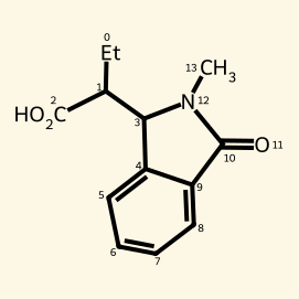 CCC(C(=O)O)C1c2ccccc2C(=O)N1C